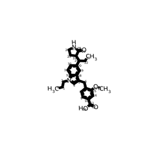 CCCn1cc(Cc2ccc(C(=O)O)cc2OC)c2cc(C(CC)C3CCNC3=O)ccc21